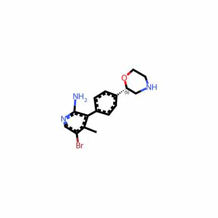 Cc1c(Br)cnc(N)c1-c1ccc([C@H]2CNCCO2)cc1